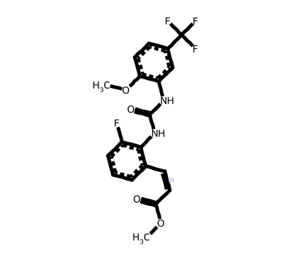 COC(=O)/C=C\c1cccc(F)c1NC(=O)Nc1cc(C(F)(F)F)ccc1OC